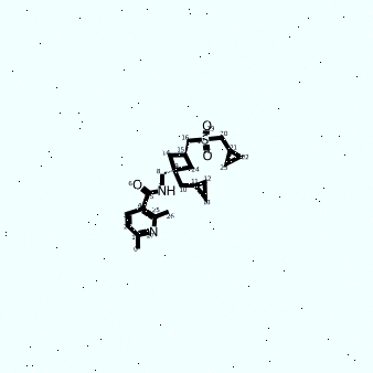 Cc1ccc(C(=O)NC[C@]2(CC3CC3)C[C@@H](CS(=O)(=O)CC3CC3)C2)c(C)n1